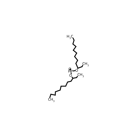 CCCCCCCCCC(CC)O[PH](=O)OC(CC)CCCCCCCCC